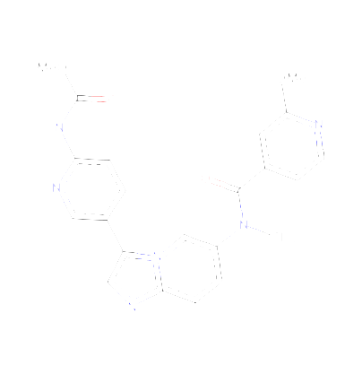 COC(=O)Nc1ccc(-c2cnc3ccc(N(C)C(=O)c4ccnc(OC)c4)cn23)cn1